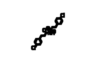 O=C(/C=C/c1ccc(Cl)cc1)NS(=O)(=O)/C=C/c1ccc(Cl)cc1